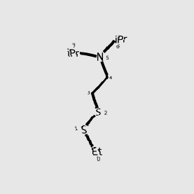 CCSSCCN(C(C)C)C(C)C